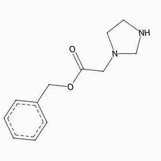 O=C(CN1CCNC1)OCc1ccccc1